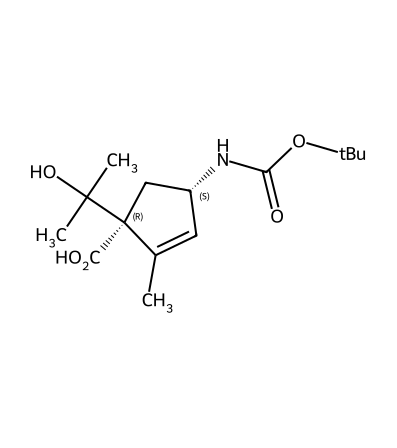 CC1=C[C@@H](NC(=O)OC(C)(C)C)C[C@]1(C(=O)O)C(C)(C)O